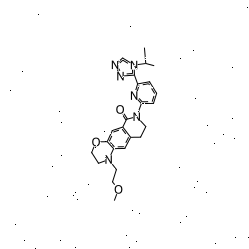 COCCN1CCOc2cc3c(cc21)CCN(c1cccc(-c2nncn2C(C)C)n1)C3=O